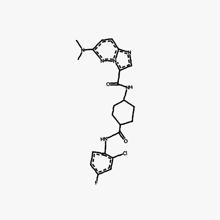 CN(C)c1ccc2ncc(C(=O)NC3CCC(C(=O)Nc4ccc(F)cc4Cl)CC3)n2n1